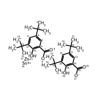 CC(C)(C)c1cc(C(=O)[O-])c(O)c(C(C)(C)C)c1.CC(C)(C)c1cc(C(=O)[O-])c(O)c(C(C)(C)C)c1.[Sn+4].[Zn+2]